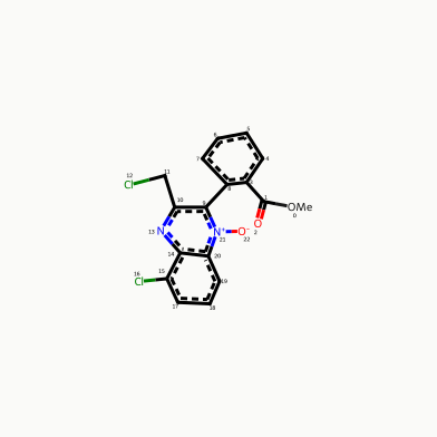 COC(=O)c1ccccc1-c1c(CCl)nc2c(Cl)cccc2[n+]1[O-]